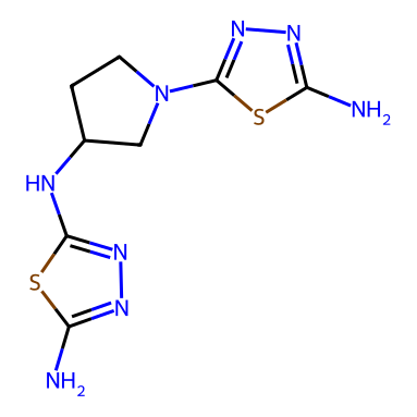 Nc1nnc(NC2CCN(c3nnc(N)s3)C2)s1